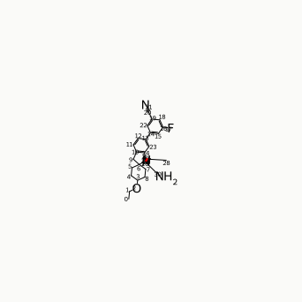 CCOC1CCC2(CC1)Cc1ccc(-c3cc(F)cc(C#N)c3)cc1C21N=C(C)C(N)=N1